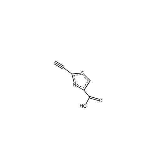 C#Cc1nc(C(=O)O)cs1